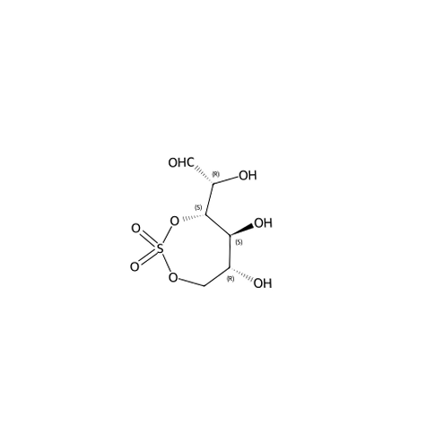 O=C[C@H](O)[C@H]1OS(=O)(=O)OC[C@@H](O)[C@@H]1O